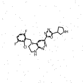 Fc1ccc(F)c(CN2CCNc3nnc(-c4nnc(C5CCNC5)o4)cc32)c1Cl